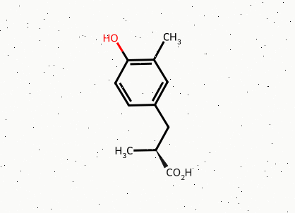 Cc1cc(C[C@H](C)C(=O)O)ccc1O